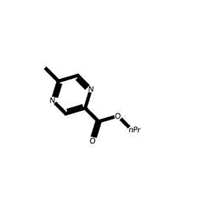 CCCOC(=O)c1cnc(C)cn1